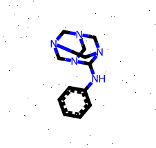 c1ccc(NC2N3CN4CN(C3)CN2C4)cc1